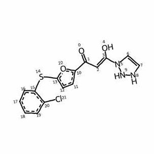 O=C(C=C(O)N1C=CNN1)c1ccc(Sc2ccccc2Cl)o1